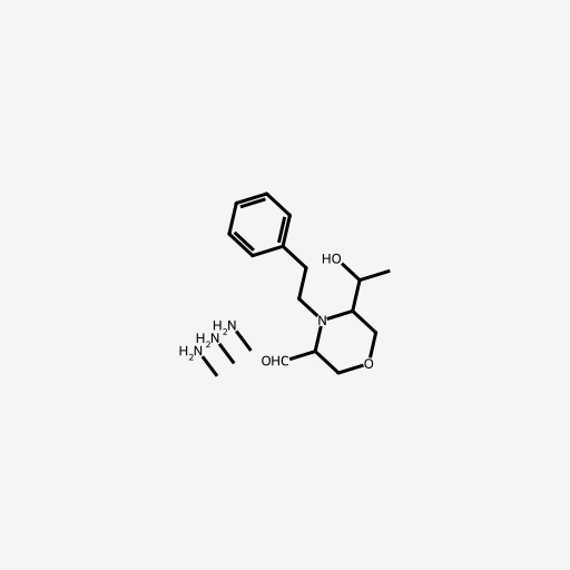 CC(O)C1COCC(C=O)N1CCc1ccccc1.CN.CN.CN